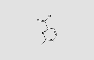 CCC(=O)c1ccnc(C)n1